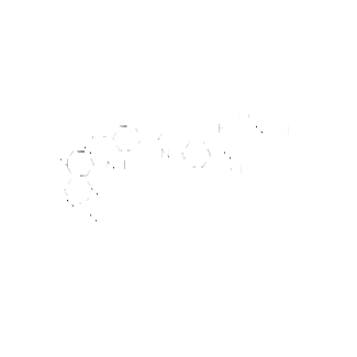 Cc1ccc(C(=O)Nc2ccc(N(C)CCN(C)C)c(C(F)(F)F)c2)cc1Nc1ncnc2cnc(N3CCCCC3)nc12